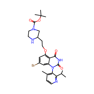 Cc1ccnc(C(C)C)c1-n1c(=O)[nH]c(=O)c2c(OCCC3CN(C(=O)OC(C)(C)C)CCN3)cc(Br)cc21